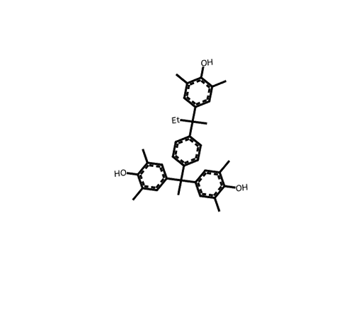 CCC(C)(c1ccc(C(C)(c2cc(C)c(O)c(C)c2)c2cc(C)c(O)c(C)c2)cc1)c1cc(C)c(O)c(C)c1